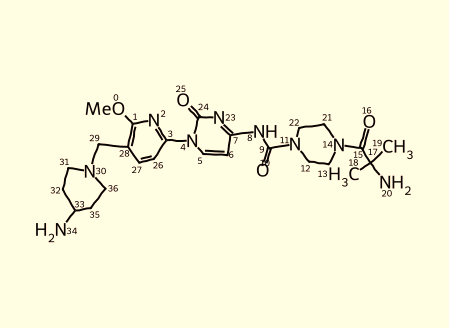 COc1nc(-n2ccc(NC(=O)N3CCN(C(=O)C(C)(C)N)CC3)nc2=O)ccc1CN1CCC(N)CC1